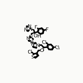 Clc1ccc(C(Cn2ccnc2)OCc2ccsc2Cl)c(Cl)c1.OC(Cn1cncn1)(Cn1cncn1)c1ccc(F)cc1F